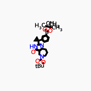 CC(C)(C)OC(=O)N1CCCc2nc(C3(c4cccc(B5OC(C)(C)C(C)(C)O5)c4)CC3)[nH]c(=O)c2C1